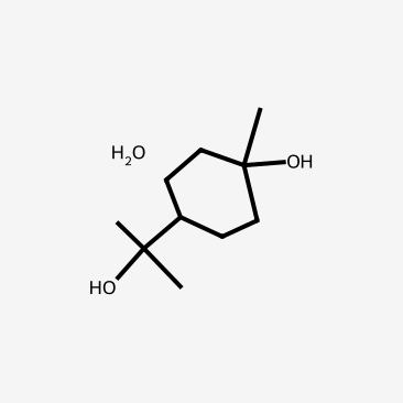 CC1(O)CCC(C(C)(C)O)CC1.O